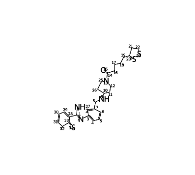 NC(=Nc1cccc(CNC2CCN(C(=O)CCCCC3CCSS3)CC2)c1)C1=CC=CCC1=S